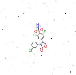 NS(=O)(=O)c1c(F)cc(-c2coc(=O)n2-c2cccc(Cl)c2)cc1F